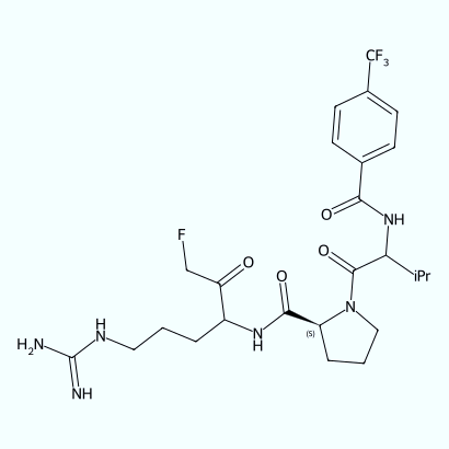 CC(C)C(NC(=O)c1ccc(C(F)(F)F)cc1)C(=O)N1CCC[C@H]1C(=O)NC(CCCNC(=N)N)C(=O)CF